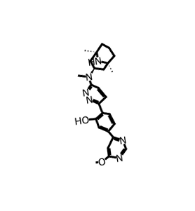 COc1cc(-c2ccc(-c3ccc(N(C)[C@@H]4C[C@]5(C)CCC[C@](C)(C4)N5)nn3)c(O)c2)ncn1